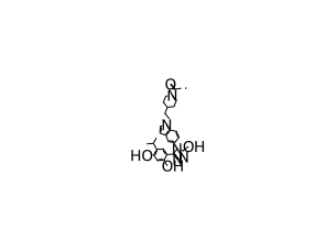 [CH2]C(=O)N1CCC(CCn2ccc3cc(-n4c(O)nnc4-c4cc(C(C)C)c(O)cc4O)ccc32)CC1